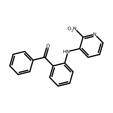 O=C(c1ccccc1)c1ccccc1Nc1cccnc1[N+](=O)[O-]